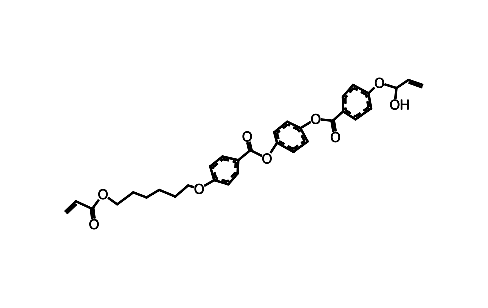 C=CC(=O)OCCCCCCOc1ccc(C(=O)Oc2ccc(OC(=O)c3ccc(OC(O)C=C)cc3)cc2)cc1